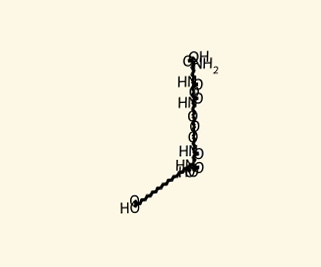 N[C@@H](CCCCNC(=O)COCC(=O)NCCCOCCOCCOCCCNC(=O)CC[C@H](NC(=O)CCCCCCCCCCCCCCCCCCC(=O)O)C(=O)O)C(=O)O